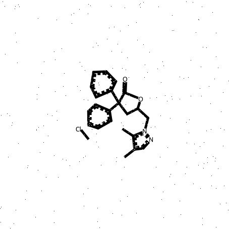 CCl.Cc1cnn(CC2CC(c3ccccc3)(c3ccccc3)C(=O)O2)c1C